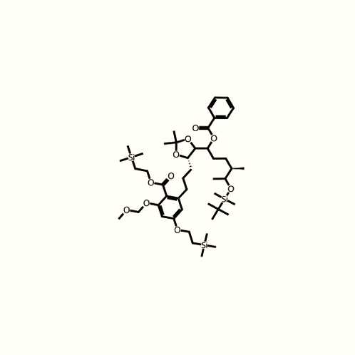 COCOc1cc(OCC[Si](C)(C)C)cc(CCC[C@@H]2OC(C)(C)OC2C(CC[C@@H](C)C(C)O[Si](C)(C)C(C)(C)C)OC(=O)c2ccccc2)c1C(=O)OCC[Si](C)(C)C